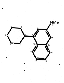 CNc1cc(C2CCCCC2)c2ccccc2c1